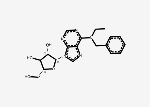 CCN(Cc1ccccc1)c1ncnc2c1ncn2[C@@H]1O[C@H](CO)C(O)[C@@H]1O